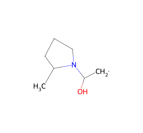 [CH2]C(O)N1CCCC1C